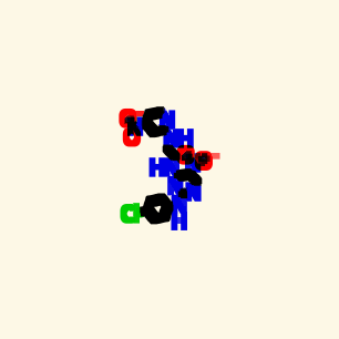 O=[N+]([O-])c1ccnc(NCCNc2nc(Nc3ccc(Cl)cc3)ncc2[N+](=O)[O-])c1